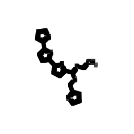 C=C/P=C(\SCc1cccs1)c1ccc(-c2ccc(-c3cccs3)s2)s1